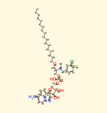 CCCCCCCCCCCCCCCCCCOC[C@H](COP(=O)(O)OC[C@H]1O[C@@](C#N)(c2ccc3c(N)ccnn23)[C@H](O)[C@@H]1O)N(C)Cc1ccc(F)c(Cl)c1